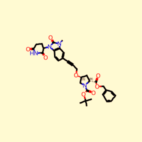 Cn1c(=O)n(C2CCC(=O)NC2=O)c2ccc(C#CCO[C@H]3C[C@H](C(=O)OCc4ccccc4)N(C(=O)OC(C)(C)C)C3)cc21